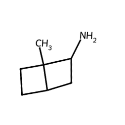 CC12CCC1CC2N